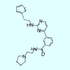 O=C(NCCN1CCCC1)c1cccc(-c2ccnc(NCCc3cccs3)n2)c1